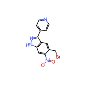 O=[N+]([O-])c1cc2[nH]nc(-c3ccncc3)c2cc1CBr